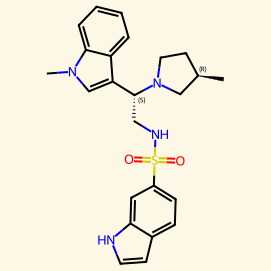 C[C@@H]1CCN([C@H](CNS(=O)(=O)c2ccc3cc[nH]c3c2)c2cn(C)c3ccccc23)C1